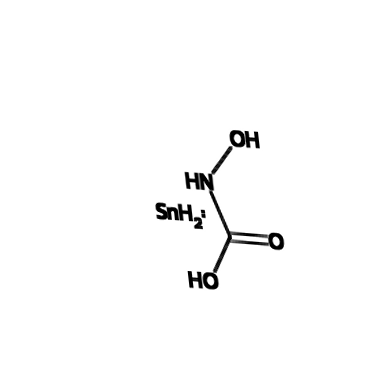 O=C(O)NO.[SnH2]